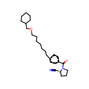 N#C[C@@H]1CCCN1C(=O)c1ccc(CCCCCCCOCC2CCCCC2)cc1